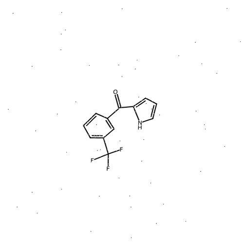 O=C(c1cccc(C(F)(F)F)c1)c1ccc[nH]1